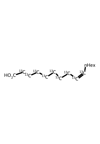 [13CH3][13CH2][13CH2][13CH2][13CH2][13CH2]/[13CH]=[13CH]\[13CH2][13CH2][13CH2][13CH2][13CH2][13CH2][13CH2][13C](=O)O